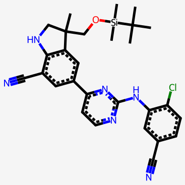 CC1(CO[Si](C)(C)C(C)(C)C)CNc2c(C#N)cc(-c3ccnc(Nc4cc(C#N)ccc4Cl)n3)cc21